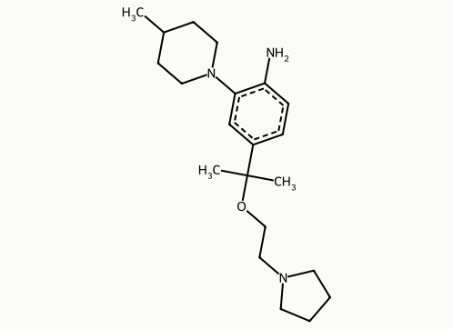 CC1CCN(c2cc(C(C)(C)OCCN3CCCC3)ccc2N)CC1